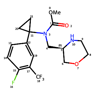 COC(=O)N(C[C@@H]1COCCN1)C1(c2ccc(F)c(C(F)(F)F)c2)CC1